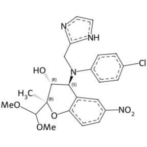 COC(OC)[C@]1(C)Oc2ccc([N+](=O)[O-])cc2[C@H](N(Cc2ncc[nH]2)c2ccc(Cl)cc2)[C@H]1O